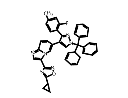 Cc1ccc(-c2nn(C(c3ccccc3)(c3ccccc3)C3C=CC=CC3)cc2-c2ccc3ncc(-c4noc(C5CC5)n4)n3c2)c(F)c1